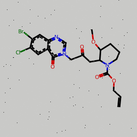 C=CCOC(=O)N1CCCC(OC)C1CC(=O)Cn1cnc2cc(Br)c(Cl)cc2c1=O